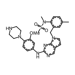 COc1cc(Nc2ncc3ccn(Cc4cc(C)ccc4N(C)S(C)(=O)=O)c3n2)ccc1N1CCNCC1